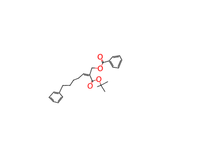 CC(C)(C)OC(=O)C(=CCCCCc1ccccc1)COC(=O)c1ccccc1